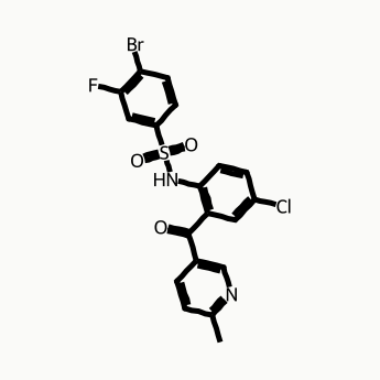 Cc1ccc(C(=O)c2cc(Cl)ccc2NS(=O)(=O)c2ccc(Br)c(F)c2)cn1